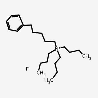 CCCC[N+](CCCC)(CCCC)CCCCCc1ccccc1.[I-]